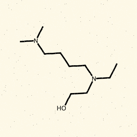 CCN(CCO)CCCCN(C)C